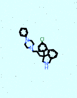 Clc1ccc(C2(CCCN3CCN(c4ccccc4)CC3)CNCc3ccccc32)cc1